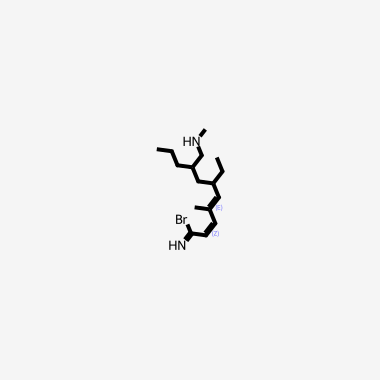 CCCC(CNC)CC(/C=C(C)/C=C\C(=N)Br)CC